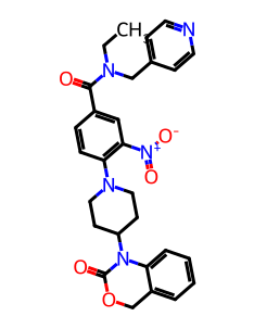 CCN(Cc1ccncc1)C(=O)c1ccc(N2CCC(N3C(=O)OCc4ccccc43)CC2)c([N+](=O)[O-])c1